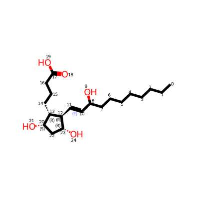 CCCCCCCCC(O)/C=C/[C@@H]1[C@@H](CCCC(=O)O)[C@@H](O)C[C@H]1O